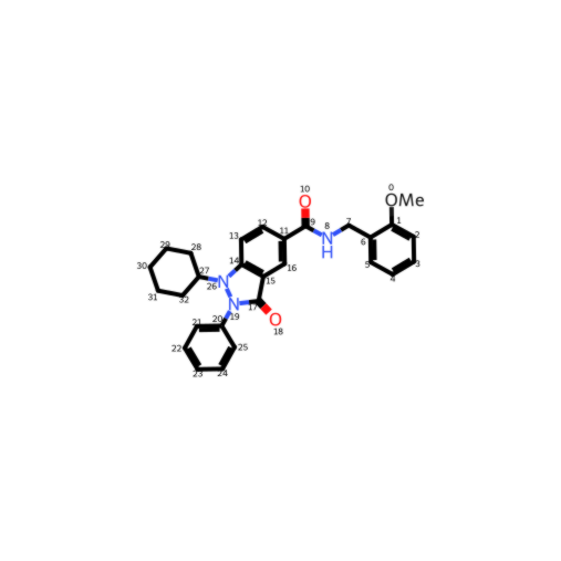 COc1ccccc1CNC(=O)c1ccc2c(c1)c(=O)n(-c1ccccc1)n2C1CCCCC1